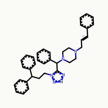 C(=C\c1ccccc1)/CN1CCN(C(c2ccccc2)c2nnnn2CCC(c2ccccc2)c2ccccc2)CC1